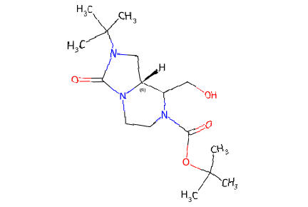 CC(C)(C)OC(=O)N1CCN2C(=O)N(C(C)(C)C)C[C@@H]2C1CO